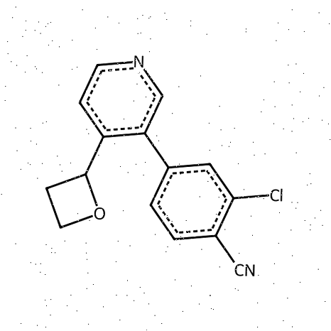 N#Cc1ccc(-c2cnccc2C2CCO2)cc1Cl